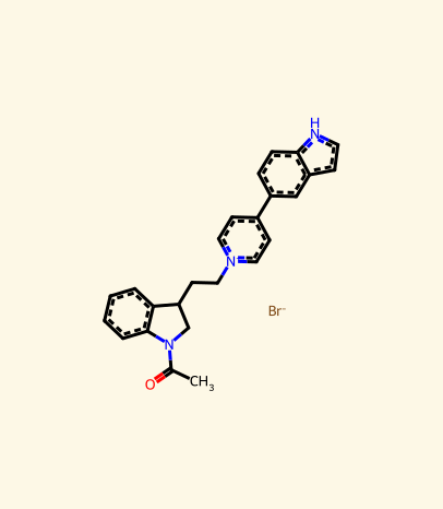 CC(=O)N1CC(CC[n+]2ccc(-c3ccc4[nH]ccc4c3)cc2)c2ccccc21.[Br-]